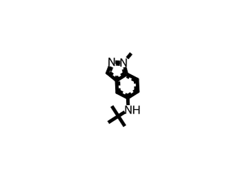 Cn1ncc2cc(NC(C)(C)C)ccc21